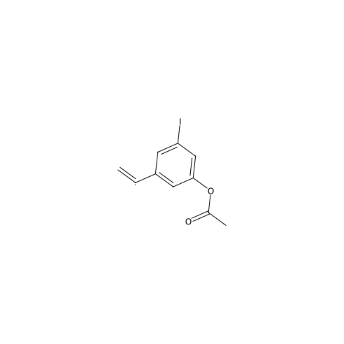 C=[C]c1cc(I)cc(OC(C)=O)c1